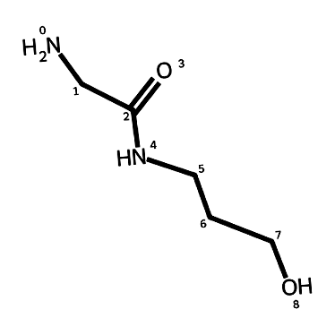 NCC(=O)NCCCO